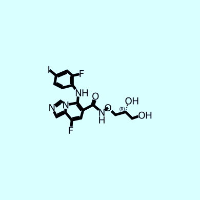 O=C(NOC[C@H](O)CO)c1cc(F)c2cncn2c1Nc1ccc(I)cc1F